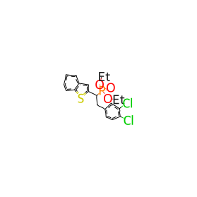 CCOP(=O)(OCC)C(Cc1ccc(Cl)c(Cl)c1)c1cc2ccccc2s1